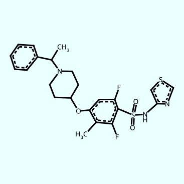 Cc1c(OC2CCN(C(C)c3ccccc3)CC2)cc(F)c(S(=O)(=O)Nc2cscn2)c1F